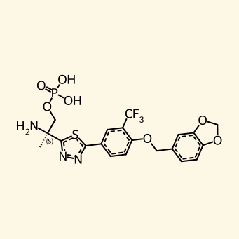 C[C@](N)(COP(=O)(O)O)c1nnc(-c2ccc(OCc3ccc4c(c3)OCO4)c(C(F)(F)F)c2)s1